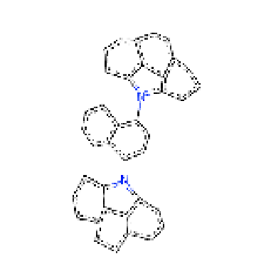 c1ccc2c(-n3c4cccc5ccc6cccc3c6c54)ccc(-n3c4cccc5ccc6cccc3c6c54)c2c1